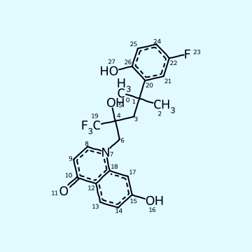 CC(C)(CC(O)(Cn1ccc(=O)c2ccc(O)cc21)C(F)(F)F)c1cc(F)ccc1O